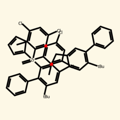 [CH2]=[Zr]([C]1=CC=CC1)([c]1cc(Cl)cc(Cl)c1C)([c]1cc(Cl)cc(Cl)c1C)[c]1c2c(cc(C(C)(C)C)c1-c1ccccc1)-c1cc(C(C)(C)C)c(-c3ccccc3)cc1C2